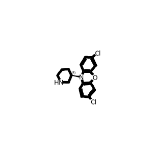 Clc1ccc2c(c1)Oc1cc(Cl)ccc1N2[C@@H]1CCCNC1